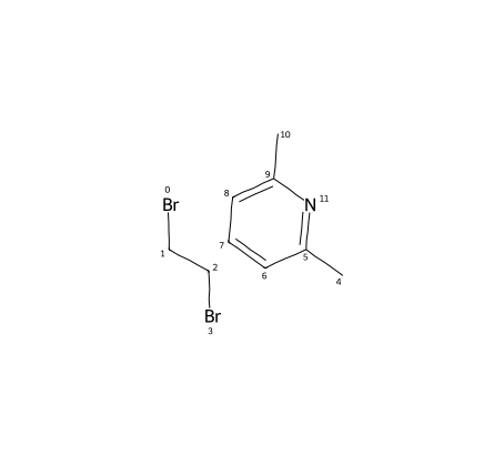 BrCCBr.Cc1cccc(C)n1